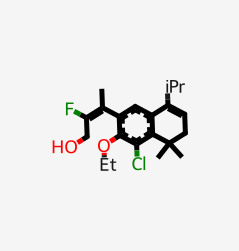 CCOc1c(/C(C)=C(/F)CO)cc2c(c1Cl)C(C)(C)CC=C2C(C)C